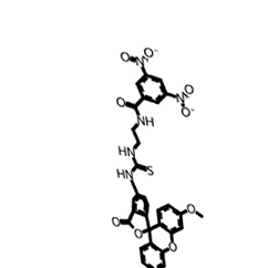 COc1ccc2c(c1)Oc1cc(OC)ccc1C21OC(=O)c2cc(NC(=S)NCCNC(=O)c3cc([N+](=O)[O-])cc([N+](=O)[O-])c3)ccc21